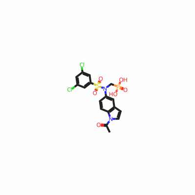 CC(=O)n1ccc2cc(N(CP(=O)(O)O)S(=O)(=O)c3cc(Cl)cc(Cl)c3)ccc21